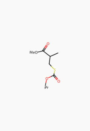 COC(=O)C(C)CSC(=O)OC(C)C